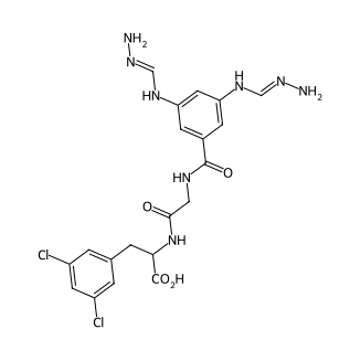 NN=CNc1cc(NC=NN)cc(C(=O)NCC(=O)NC(Cc2cc(Cl)cc(Cl)c2)C(=O)O)c1